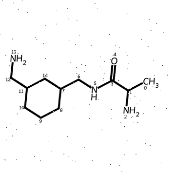 CC(N)C(=O)NCC1CCCC(CN)C1